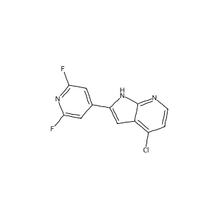 Fc1cc(-c2cc3c(Cl)ccnc3[nH]2)cc(F)n1